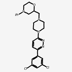 CC(C)N1CCOC(CN2CCN(c3ccc(-c4cc(Cl)cc(Cl)c4)nn3)CC2)C1